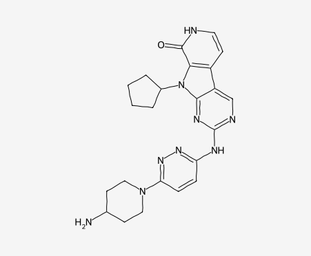 NC1CCN(c2ccc(Nc3ncc4c5cc[nH]c(=O)c5n(C5CCCC5)c4n3)nn2)CC1